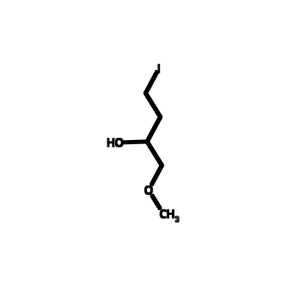 COCC(O)CCI